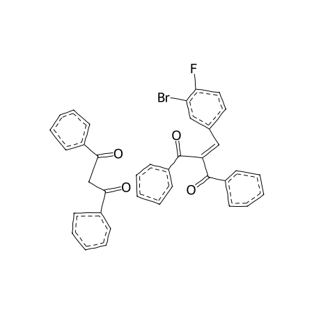 O=C(C(=Cc1ccc(F)c(Br)c1)C(=O)c1ccccc1)c1ccccc1.O=C(CC(=O)c1ccccc1)c1ccccc1